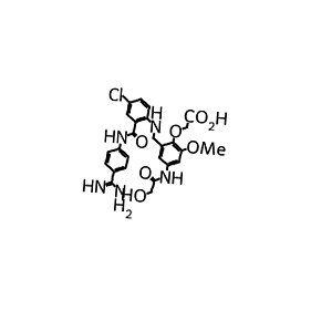 COc1cc(NC(=O)CO)cc(CNc2ccc(Cl)cc2C(=O)Nc2ccc(C(=N)N)cc2)c1OCC(=O)O